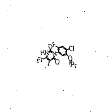 CCc1[nH]c(=O)n(-c2cc(OC(C)C)c(Cl)cc2F)c(=O)c1C